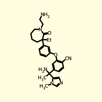 CCC1(c2cccc(Oc3cc(C(C)(N)c4cncn4C)ccc3C#N)c2)CCCCN(CCN)C1=O